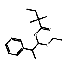 CCOC(OC(=O)C(C)(C)CC)C(C)c1ccccc1